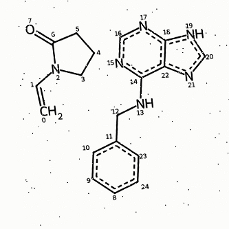 C=CN1CCCC1=O.c1ccc(CNc2ncnc3[nH]cnc23)cc1